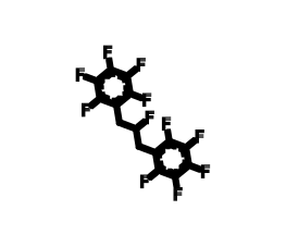 Fc1c(F)c(F)c(CC(F)Cc2c(F)c(F)c(F)c(F)c2F)c(F)c1F